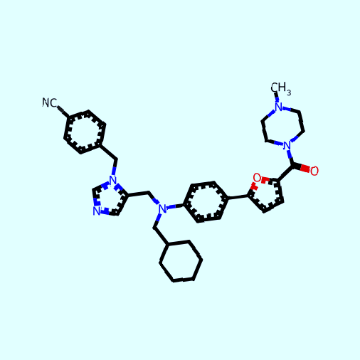 CN1CCN(C(=O)c2ccc(-c3ccc(N(Cc4cncn4Cc4ccc(C#N)cc4)CC4CCCCC4)cc3)o2)CC1